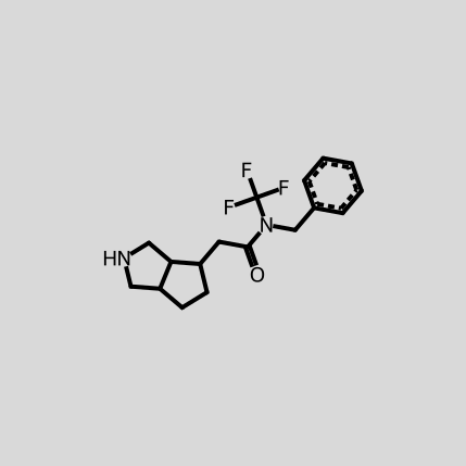 O=C(CC1CCC2CNCC21)N(Cc1ccccc1)C(F)(F)F